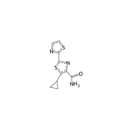 NC(=O)c1nc(-c2nccs2)sc1C1CC1